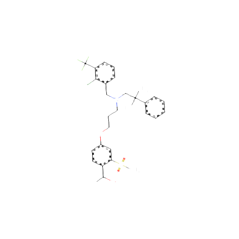 CC(O)c1ccc(OCCCN(Cc2cccc(C(F)(F)F)c2Cl)CC(C)(C)c2ccccc2)cc1S(C)(=O)=O